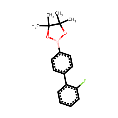 CC1(C)OB(c2ccc(-c3ccccc3F)cc2)OC1(C)C